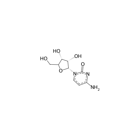 Nc1ccn([C@@H]2OC(CO)[C@H](O)[C@@H]2O)c(=O)n1